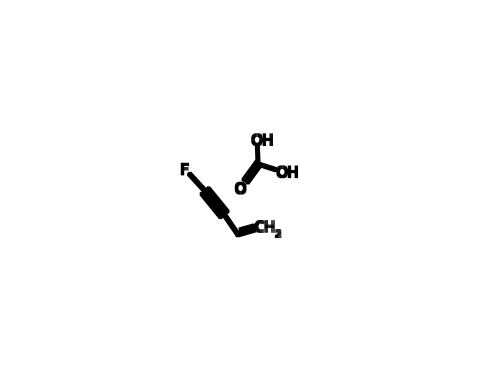 C=CC#CF.O=C(O)O